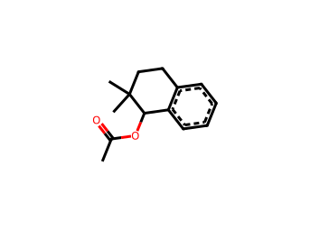 CC(=O)OC1c2ccccc2CCC1(C)C